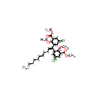 CCCCCCCCCC=C(c1cc(Cl)cc(C(=O)OC)c1OC)c1cc(Cl)cc(C(=O)OC)c1OC